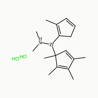 CC1=C[C](C)([Zr]([C]2=C(C)C=CC2)[SiH](C)C)C(C)=C1C.Cl.Cl